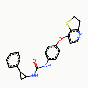 O=C(Nc1ccc(Oc2ccnc3c2SCC3)cc1)NC1CC1c1ccccc1